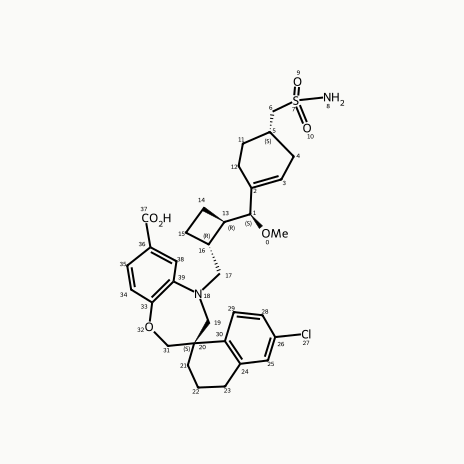 CO[C@H](C1=CC[C@@H](CS(N)(=O)=O)CC1)[C@@H]1CC[C@H]1CN1C[C@@]2(CCCc3cc(Cl)ccc32)COc2ccc(C(=O)O)cc21